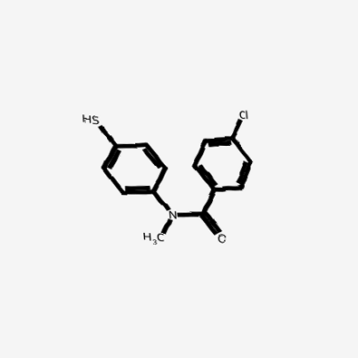 CN(C(=O)c1ccc(Cl)cc1)c1ccc(S)cc1